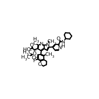 Cc1nc2c(cc(-c3ccnc(C(=O)NC4CCCCC4)c3)n2C)c(-c2cc(F)c3c(c2C)CCCO3)c1[C@H](OC(C)(C)C)C(=O)O